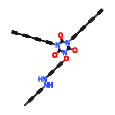 C#CC#CC#CC#Cn1c(=O)n(C#CC#CC#CC#C)c(=O)n(OC#CC#CNNC#CC#CC)c1=O